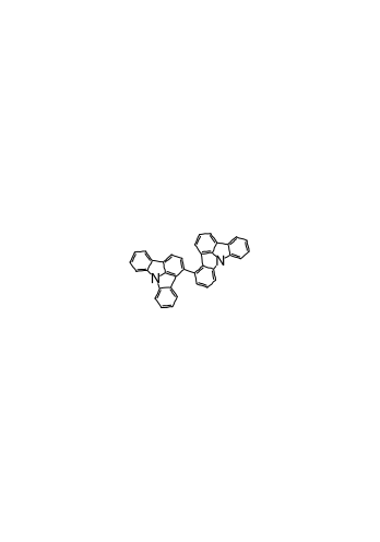 c1ccc2c(c1)c1cccc3c4c(-c5ccc6c7ccccc7n7c8ccccc8c5c67)cccc4n2c13